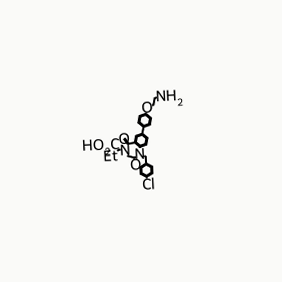 CCC(C(=O)O)N1CC(=O)N(Cc2ccc(Cl)cc2)c2ccc(-c3ccc(OCCN)cc3)cc2C1=O